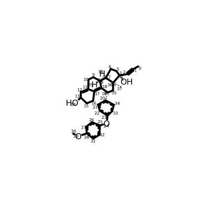 CC#C[C@]1(O)CC[C@H]2[C@@H]3CCC4=CC(O)CCC4=C3[C@@H](c3ccc(Oc4ccc(OC)cc4)cc3)C[C@@]21C